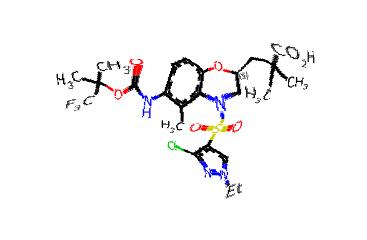 CCn1cc(S(=O)(=O)N2C[C@H](CC(C)(C)C(=O)O)Oc3ccc(NC(=O)OC(C)(C)C(F)(F)F)c(C)c32)c(Cl)n1